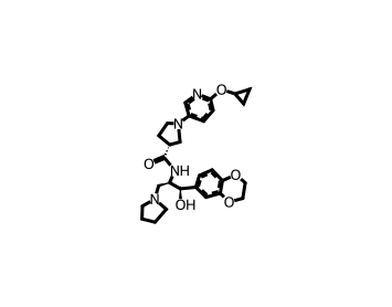 O=C(N[C@H](CN1CCCC1)[C@H](O)c1ccc2c(c1)OCCO2)[C@@H]1CCN(c2ccc(OC3CC3)nc2)C1